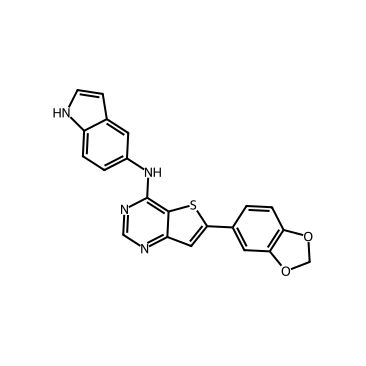 c1nc(Nc2ccc3[nH]ccc3c2)c2sc(-c3ccc4c(c3)OCO4)cc2n1